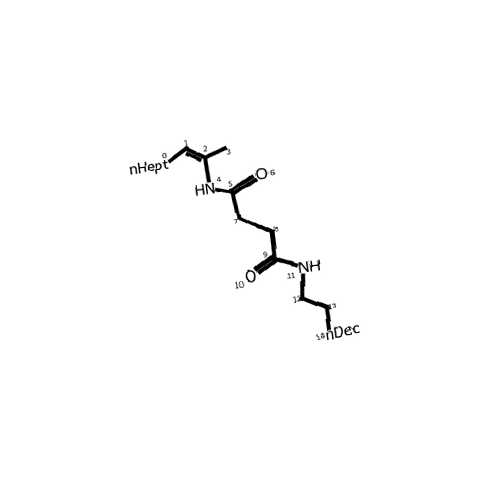 CCCCCCCC=C(C)NC(=O)CCC(=O)NCCCCCCCCCCCC